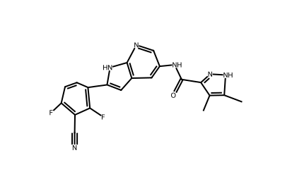 Cc1[nH]nc(C(=O)Nc2cnc3[nH]c(-c4ccc(F)c(C#N)c4F)cc3c2)c1C